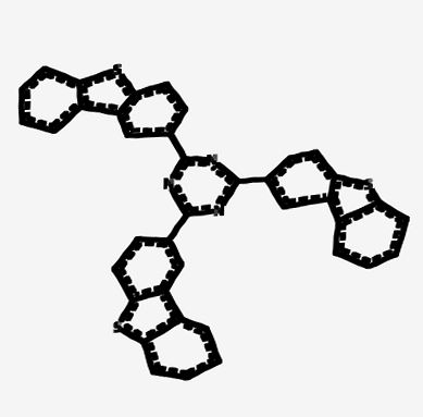 c1ccc2c(c1)sc1ccc(-c3nc(-c4ccc5sc6ccccc6c5c4)nc(-c4ccc5sc6ccccc6c5c4)n3)cc12